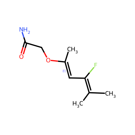 CC(C)=C(F)/C=C(\C)OCC(N)=O